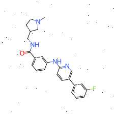 CN1CCC(CNC(=O)c2cccc(Nc3ccc(-c4cccc(F)c4)cn3)c2)C1